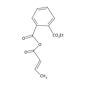 CC=CC(=O)OC(=O)c1ccccc1C(=O)OCC